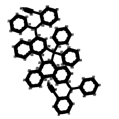 N#Cc1ccccc1N(c1ccccc1)c1ccc2c3c(c4ccccc4c2c1)-c1c(cc(N(c2ccccc2)c2ccccc2C#N)c2ccccc12)C3(c1ccccc1)c1ccccc1